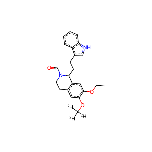 [2H]C([2H])([2H])Oc1cc2c(cc1OCC)C(CCc1c[nH]c3ccccc13)N(C=O)CC2